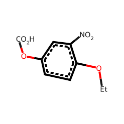 CCOc1ccc(OC(=O)O)cc1[N+](=O)[O-]